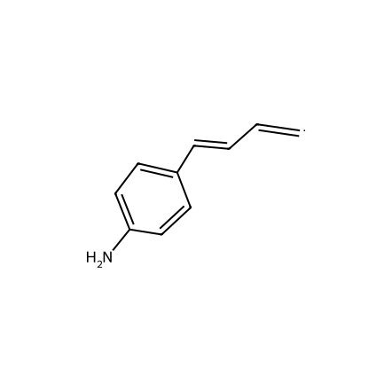 [CH]=C/C=C/c1ccc(N)cc1